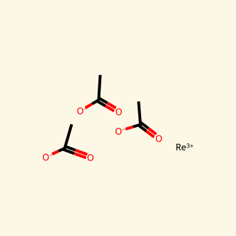 CC(=O)[O-].CC(=O)[O-].CC(=O)[O-].[Re+3]